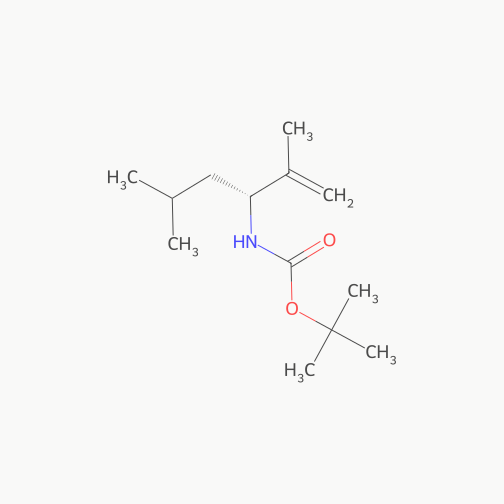 C=C(C)[C@@H](CC(C)C)NC(=O)OC(C)(C)C